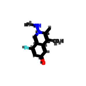 CCCNn1cc2c(F)cc(=O)cc-2c(C(=O)O)c1C